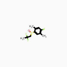 Cc1cc([S+]([O-])CC(C)(F)F)c(C)cc1F